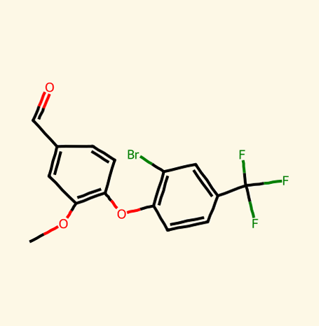 COc1cc(C=O)ccc1Oc1ccc(C(F)(F)F)cc1Br